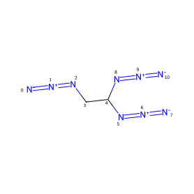 [N-]=[N+]=NCC(N=[N+]=[N-])N=[N+]=[N-]